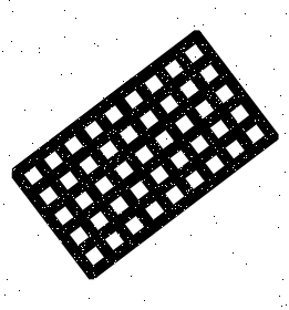 C1C2C3C4C5C6C7C8C9C%10C%11C6%12C6C%13CC%14C%15C%16C%17CC%18C%19C%20C%21C%22C%23C%24C1C21C32C43C57C84C95C%107C%118C%129C6%10C%14%13C%156C%16%11C%17%18C%19%12C%20%13C%21%14C%22%15C%23%16C%241C21C34C52C%161C%151C72C82C%141C%131C%11%12C6%10C912